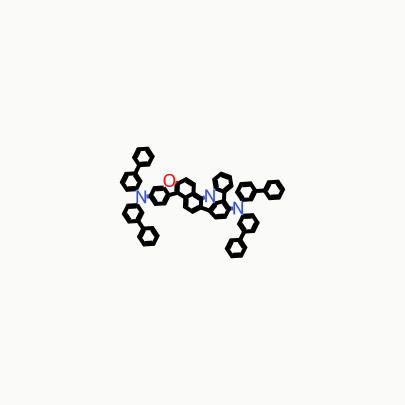 c1ccc(-c2cccc(N(c3cccc(-c4ccccc4)c3)c3ccc4c(c3)oc3ccc5c(ccc6c7ccc(N(c8cccc(-c9ccccc9)c8)c8cccc(-c9ccccc9)c8)c8c9ccccc9n(c56)c78)c34)c2)cc1